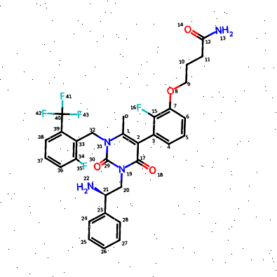 Cc1c(-c2cccc(OCCCC(N)=O)c2F)c(=O)n(C[C@H](N)c2ccccc2)c(=O)n1Cc1c(F)cccc1C(F)(F)F